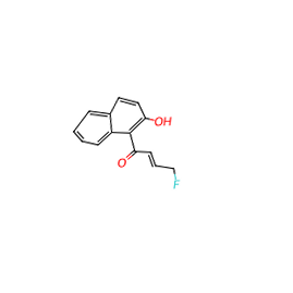 O=C(/C=C/CF)c1c(O)ccc2ccccc12